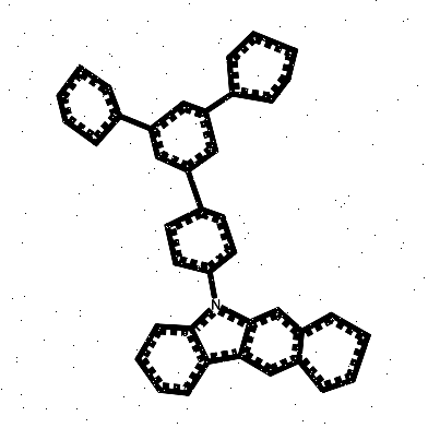 c1ccc(-c2cc(-c3ccccc3)cc(-c3ccc(-n4c5ccccc5c5cc6ccccc6cc54)cc3)c2)cc1